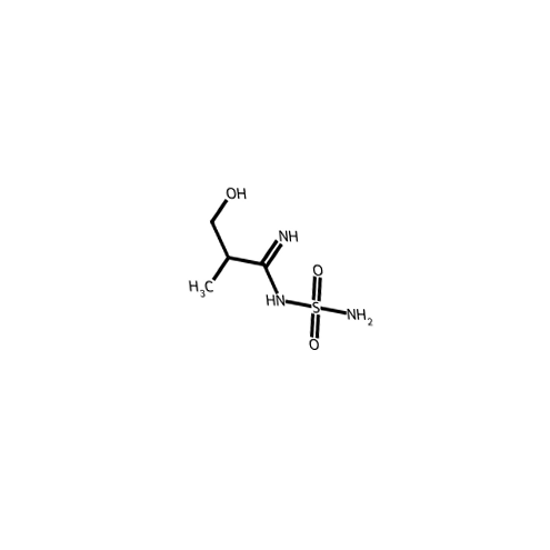 CC(CO)C(=N)NS(N)(=O)=O